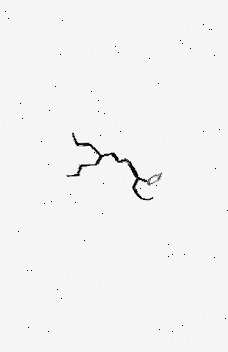 C\C=C/C(Cl)=C\C=C\C(CCC)CCCC